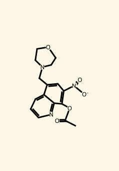 CC(=O)Oc1c([N+](=O)[O-])cc(CN2CCOCC2)c2cccnc12